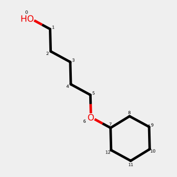 OCCCCCOC1C[CH]CCC1